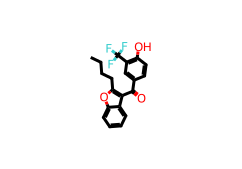 CCCCc1oc2ccccc2c1C(=O)c1ccc(O)c(C(F)(F)F)c1